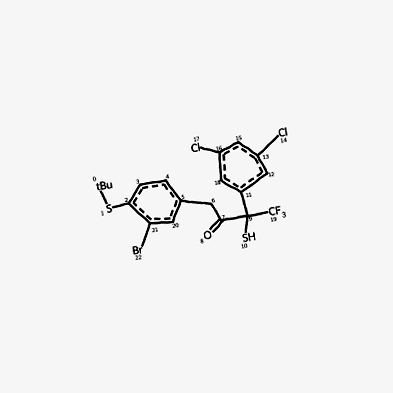 CC(C)(C)Sc1ccc(CC(=O)C(S)(c2cc(Cl)cc(Cl)c2)C(F)(F)F)cc1Br